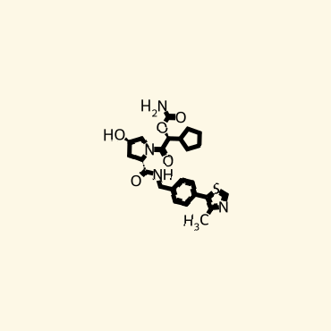 Cc1ncsc1-c1ccc(CNC(=O)[C@@H]2C[C@@H](O)CN2C(=O)[C@@H](OC(N)=O)C2CCCC2)cc1